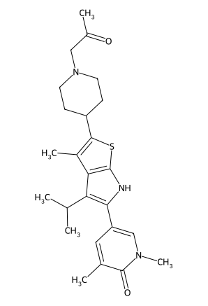 CC(=O)CN1CCC(c2sc3[nH]c(-c4cc(C)c(=O)n(C)c4)c(C(C)C)c3c2C)CC1